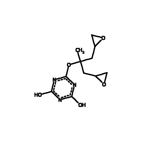 CC(CC1CO1)(CC1CO1)Oc1nc(O)nc(O)n1